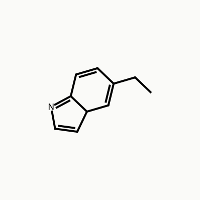 CCC1=CC2C=CN=C2C=C1